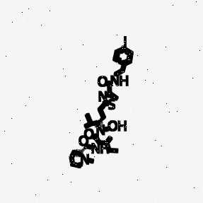 CCC(C)C(NC(=O)[C@H]1CCCCN1C)C(=O)N(CO)[C@H](CCc1nc(C(=O)NCCc2ccc(I)cc2)cs1)C(C)C